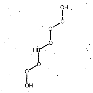 OOOBOOOO